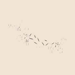 C=C(N[C@H](C(=O)N1CCC[C@@]1(C)c1nc2ccc3cc4c(cc3c2[nH]1)OCc1cc(-c2cnc(C3(C)CCCN3C(=O)OC(C)(C)C)[nH]2)ccc1-4)C(C)C)OC